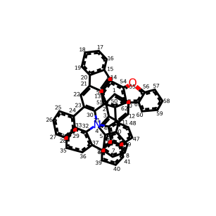 C1=CC2(C3=Cc4ccccc4C3=C1)C1=Cc3ccccc3C1=CC(c1ccccc1)=C2N(c1ccccc1-c1ccccc1)c1ccccc1-c1cccc2oc3ccccc3c12